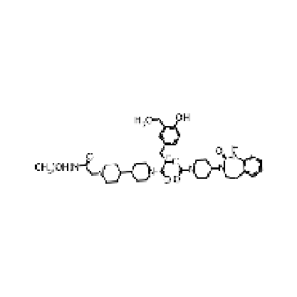 C=Cc1cc(C[C@@H](OC(=O)N2CCC(N3CCc4ccccc4NC3=O)CC2)C(=O)N2CCC(C3CCN(CC(=O)N(C)O)CC3)CC2)ccc1O